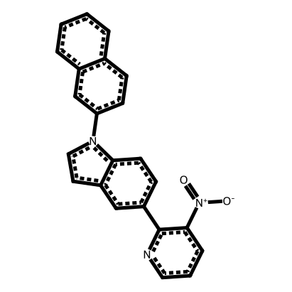 O=[N+]([O-])c1cccnc1-c1ccc2c(ccn2-c2ccc3ccccc3c2)c1